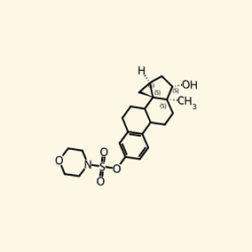 C[C@]12CCC3c4ccc(OS(=O)(=O)N5CCOCC5)cc4CCC3[C@@]13C[C@H]3C[C@@H]2O